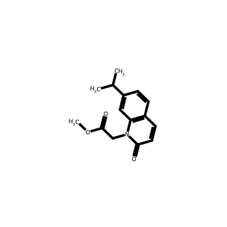 COC(=O)Cn1c(=O)ccc2ccc(C(C)C)cc21